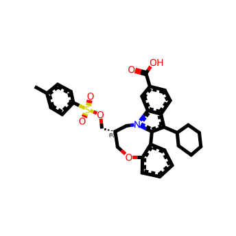 Cc1ccc(S(=O)(=O)OC[C@H]2COc3ccccc3-c3c(C4CCCCC4)c4ccc(C(=O)O)cc4n3C2)cc1